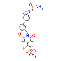 CCc1c(C(=O)N2CCOc3ccc(-c4ccc(NCC(N)=O)nc4)cc3C2)ccc(S(C)(=O)=O)c1F